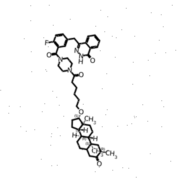 C[C@@H]1C[C@@]2(C)C(CC[C@H]3[C@@H]4CC[C@H](OCCCCCC(=O)N5CCN(C(=O)c6cc(Cc7n[nH]c(=O)c8ccccc78)ccc6F)CC5)[C@@]4(C)CC[C@@H]32)CC1=O